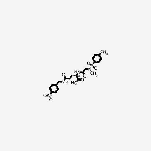 Cc1ccc(S(=O)(=O)N(C)CC(=O)N[C@@H](CCC(=O)NCc2ccc([N+](=O)[O-])cc2)C(=O)O)cc1